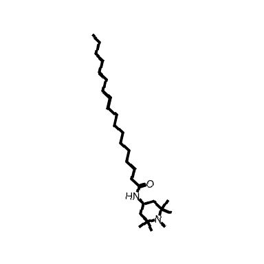 CCCCCCCCCCCCCCCCCC(=O)NC1CC(C)(C)N(C)C(C)(C)C1